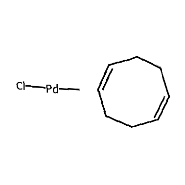 C1=CCCC=CCC1.[CH3][Pd][Cl]